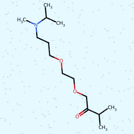 CC(C)C(=O)COCCOCCCN(C)C(C)C